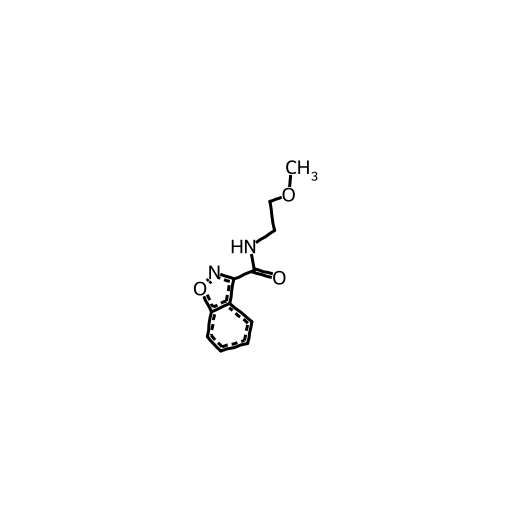 COCCNC(=O)c1noc2ccccc12